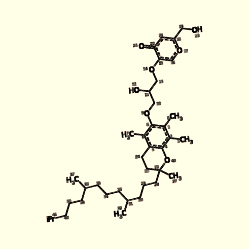 Cc1c(C)c2c(c(C)c1OCC(O)COc1coc(CO)cc1=O)CCC(C)(CCCC(C)CCCC(C)CCCC(C)C)O2